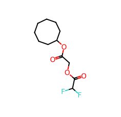 O=C(COC(=O)C(F)F)OC1CCCCCCC1